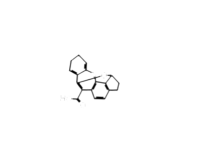 O=C(O)C1=C2OC3CCc4ccc1c(c43)SC1=CCCC=C12